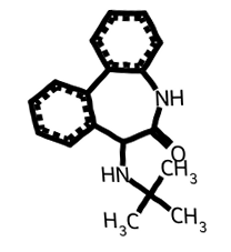 CC(C)(C)NC1C(=O)Nc2ccccc2-c2ccccc21